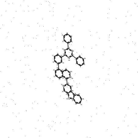 c1ccc(-c2nc(-c3ccccc3)nc(-c3cccc(-c4cccc5c(-c6cc7c(cn6)oc6ccccc67)nccc45)c3)n2)cc1